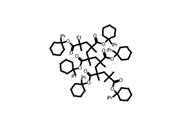 CCC(C)(CC(C)(CC(C)(CC(C)(CC(C)(CC(C)(C)C(=O)OC1(C(C)C)CCCCC1)C(=O)OC1(C(C)C)CCCCC1)C(=O)OC1(C(C)C)CCCCC1)C(=O)OC1(C(C)C)CCCCC1)C(=O)OC1(C(C)C)CCCCC1)C(=O)OC1(C(C)C)CCCCC1